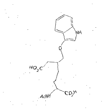 CC(=O)NC(CCC(COc1c[nH]c2ccccc12)CC(=O)O)C(=O)O